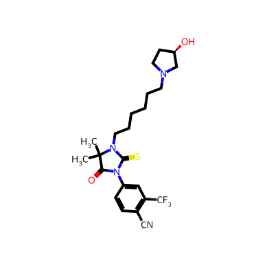 CC1(C)C(=O)N(c2ccc(C#N)c(C(F)(F)F)c2)C(=S)N1CCCCCCN1CC[C@@H](O)C1